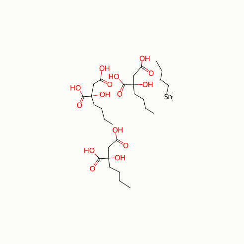 CCCCC(O)(CC(=O)O)C(=O)O.CCCCC(O)(CC(=O)O)C(=O)O.CCCCC(O)(CC(=O)O)C(=O)O.CCC[CH2][Sn]